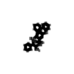 Cc1cc2c(cc1S(=O)(=O)NC(C)C(O)c1ccccc1)Sc1ccccc1C21CCCCC1